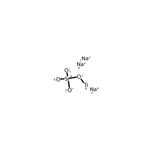 [Na+].[Na+].[Na+].[O-][Si]([O-])([O-])[O][Ti]